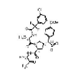 COc1ccc(C([C@@H]2C[C@@H](C(=O)N[C@H](C(=O)C(F)(F)F)C(C)C)N(C(=O)[C@H](C)NC(=O)C(F)(F)c3cccc(Cl)c3)C2)[SH](=O)=O)cc1